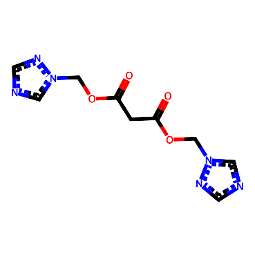 O=C(CC(=O)OCn1cncn1)OCn1cncn1